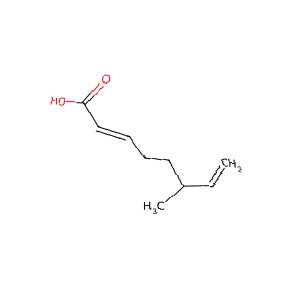 C=CC(C)CCC=CC(=O)O